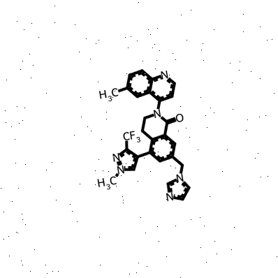 Cc1ccc2nccc(N3CCc4c(cc(Cn5ccnc5)cc4-c4cn(C)nc4C(F)(F)F)C3=O)c2c1